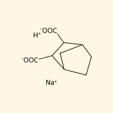 O=C([O-])C1C2CCC(C2)C1C(=O)[O-].[H+].[Na+]